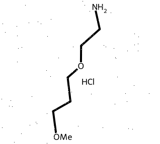 COCCCOCCN.Cl